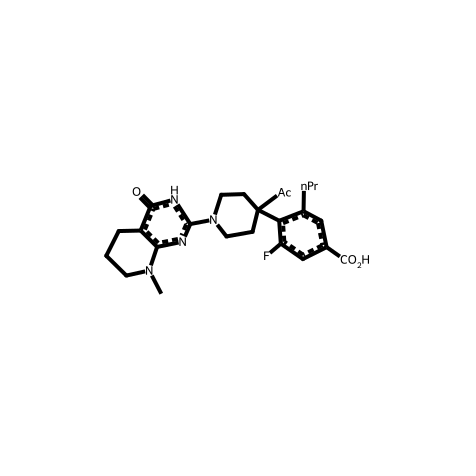 CCCc1cc(C(=O)O)cc(F)c1C1(C(C)=O)CCN(c2nc3c(c(=O)[nH]2)CCCN3C)CC1